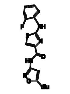 CC(C)(C)c1cc(NC(=O)c2csc(Nc3ccccc3F)n2)no1